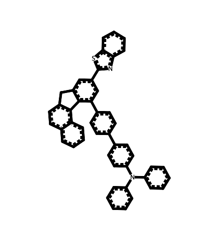 c1ccc(N(c2ccccc2)c2ccc(-c3ccc(-c4cc(-c5nc6ccccc6s5)cc5c4-c4c(ccc6ccccc46)C5)cc3)cc2)cc1